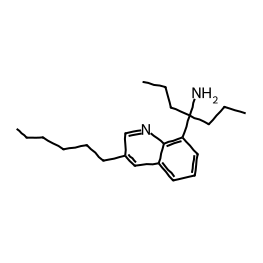 CCCCCCc1cnc2c(C(N)(CCC)CCC)cccc2c1